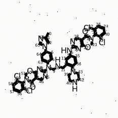 Cc1cn(-c2ccc(N(CNCc3cc(Nc4ncc5c(n4)OCN(c4c(Cl)cccc4Cl)C5=O)ccc3N3CCNCC3)c3ncc4c(n3)OCN(c3c(Cl)cccc3Cl)C4=O)cc2)cn1